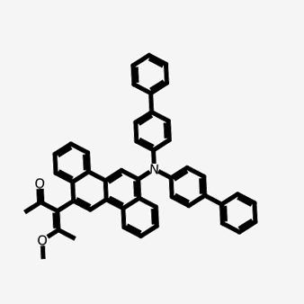 CO/C(C)=C(\C(C)=O)c1cc2c3ccccc3c(N(c3ccc(-c4ccccc4)cc3)c3ccc(-c4ccccc4)cc3)cc2c2ccccc12